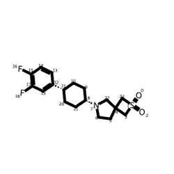 O=S1(=O)CC2(CCN([C@H]3CC[C@@H](c4ccc(F)c(F)c4)CC3)C2)C1